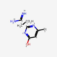 CC(=O)O.CCc1cc(O)ncn1.N=CN